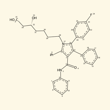 CC(C)c1c(C(=O)Nc2ccccc2)c(-c2ccccc2)c(-c2ccc(F)cc2)n1CCCC[C@@H](O)CC(=O)O